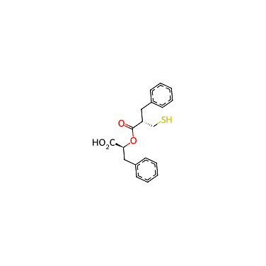 O=C(O[C@@H](Cc1ccccc1)C(=O)O)[C@@H](CS)Cc1ccccc1